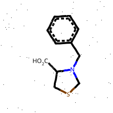 O=C(O)C1CSCN1Cc1ccccc1